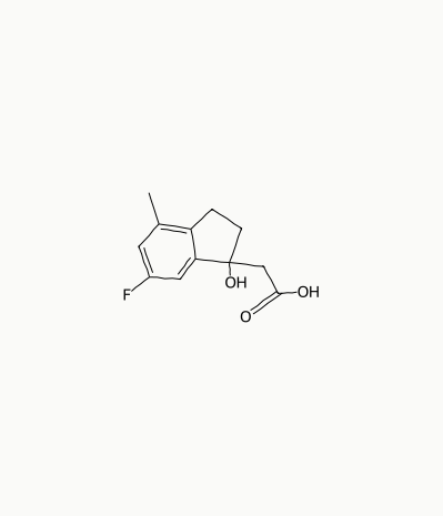 Cc1cc(F)cc2c1CCC2(O)CC(=O)O